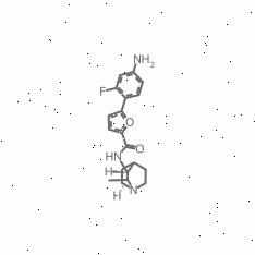 C[C@H]1[C@H](NC(=O)c2ccc(-c3ccc(N)cc3F)o2)C2CCN1CC2